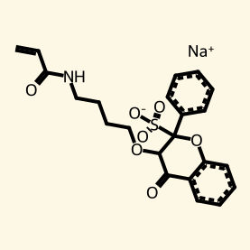 C=CC(=O)NCCCCOC1C(=O)c2ccccc2OC1(c1ccccc1)S(=O)(=O)[O-].[Na+]